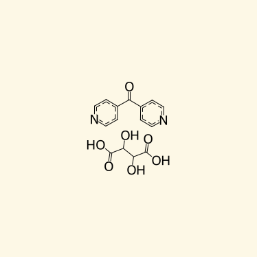 O=C(O)C(O)C(O)C(=O)O.O=C(c1ccncc1)c1ccncc1